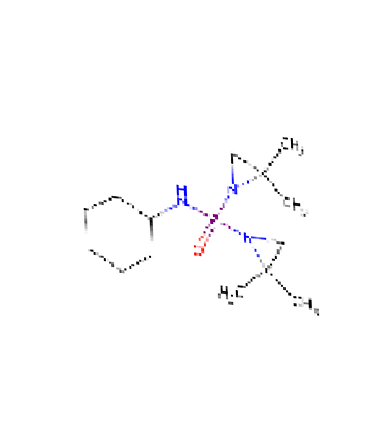 CC1(C)CN1P(=O)(NC1CCCCC1)N1CC1(C)C